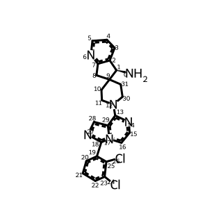 N[C@@H]1c2cccnc2CC12CCN(c1nccn3c(-c4cccc(Cl)c4Cl)ncc13)CC2